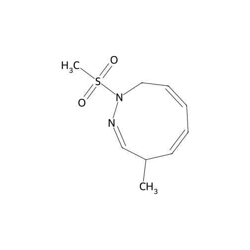 CC1/C=C\C=C/CN(S(C)(=O)=O)/N=C\1